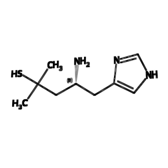 CC(C)(S)C[C@H](N)Cc1c[nH]cn1